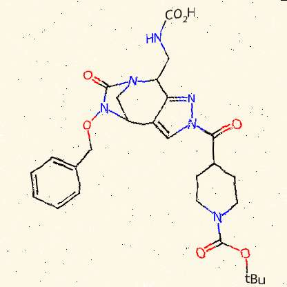 CC(C)(C)OC(=O)N1CCC(C(=O)n2cc3c(n2)C(CNC(=O)O)N2CC3N(OCc3ccccc3)C2=O)CC1